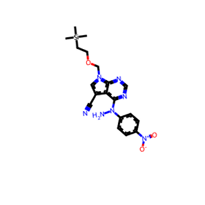 C[Si](C)(C)CCOCn1cc(C#N)c2c(N(N)c3ccc([N+](=O)[O-])cc3)ncnc21